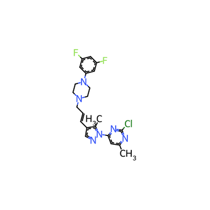 Cc1cc(-n2ncc(C=CCN3CCN(c4cc(F)cc(F)c4)CC3)c2C)nc(Cl)n1